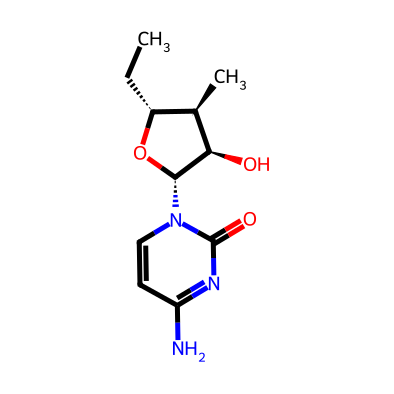 CC[C@H]1O[C@@H](n2ccc(N)nc2=O)[C@H](O)[C@@H]1C